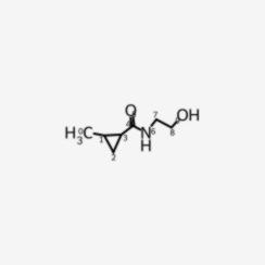 CC1CC1C(=O)NCCO